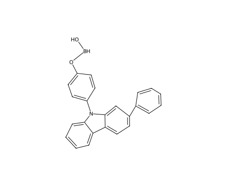 OBOc1ccc(-n2c3ccccc3c3ccc(-c4ccccc4)cc32)cc1